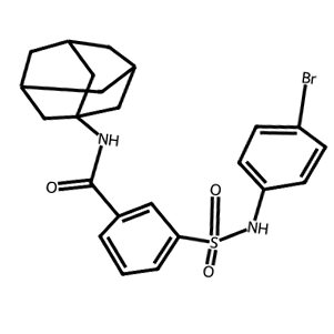 O=C(NC12CC3CC(CC(C3)C1)C2)c1cccc(S(=O)(=O)Nc2ccc(Br)cc2)c1